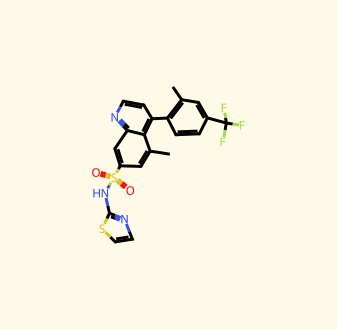 Cc1cc(C(F)(F)F)ccc1-c1ccnc2cc(S(=O)(=O)Nc3nccs3)cc(C)c12